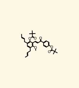 C/C=C/Cc1cc(C/C=C/C)c(OC(=O)C(C)(C)C)c(/C=C/C(=O)c2ccc(OC(=O)C(C)(C)C)cc2)c1OC